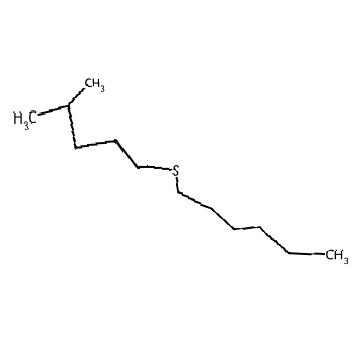 CCCCCCSCCCC(C)C